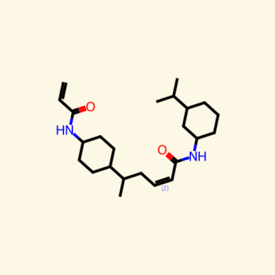 C=CC(=O)NC1CCC(C(C)C/C=C\C(=O)NC2CCCC(C(C)C)C2)CC1